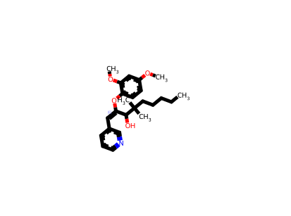 CCCCCC(C)(C)C(O)/C(=C\c1cccnc1)Oc1ccc(OC)cc1OC